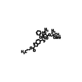 C=CCOC(=O)c1cc2cc(C(F)P(=O)(N[C@@H](C)C(=O)OCC(C)(C)OC)Oc3ccccc3)ccc2s1